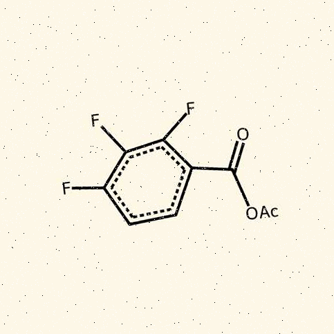 CC(=O)OC(=O)c1ccc(F)c(F)c1F